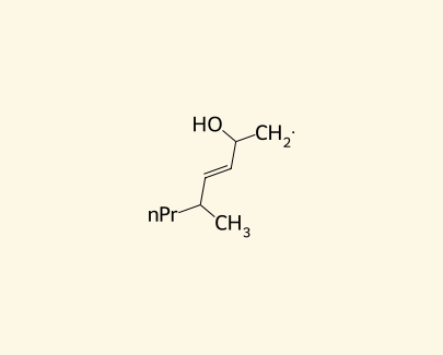 [CH2]C(O)C=CC(C)CCC